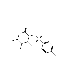 Cc1ccc(S(=O)(=O)OC2C(=O)OC(C)C(C)C2C)cc1